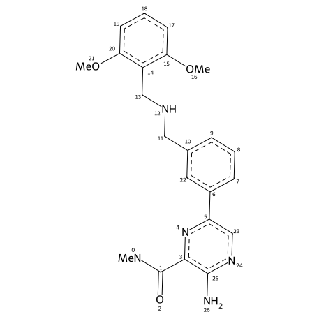 CNC(=O)c1nc(-c2cccc(CNCc3c(OC)cccc3OC)c2)cnc1N